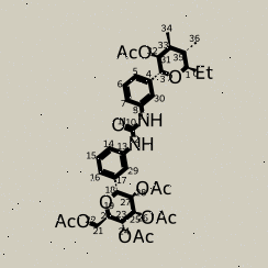 CC[C@H]1O[C@H](c2cccc(NC(=O)Nc3cccc([C@H]4O[C@H](COC(C)=O)[C@@H](OC(C)=O)[C@H](OC(C)=O)[C@@H]4OC(C)=O)c3)c2)[C@@H](OC(C)=O)[C@@H](C)[C@@H]1C